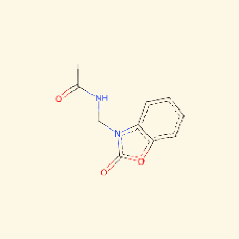 CC(=O)NCn1c(=O)oc2ccccc21